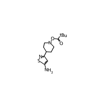 CC(C)(C)C(=O)ON1CCC(c2cc(N)sn2)CC1